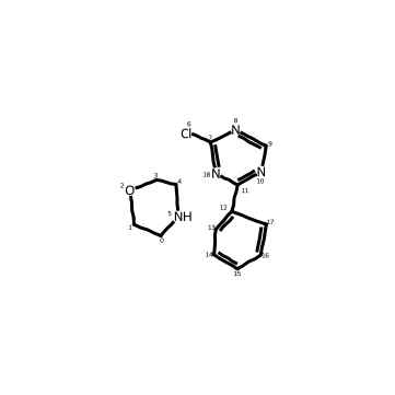 C1COCCN1.Clc1ncnc(-c2ccccc2)n1